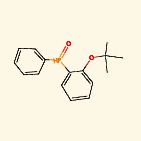 CC(C)(C)Oc1ccccc1[PH](=O)c1ccccc1